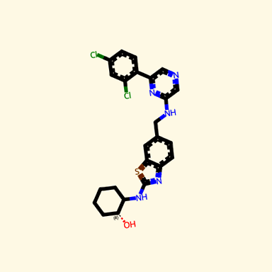 O[C@@H]1CCCCC1Nc1nc2ccc(CNc3cncc(-c4ccc(Cl)cc4Cl)n3)cc2s1